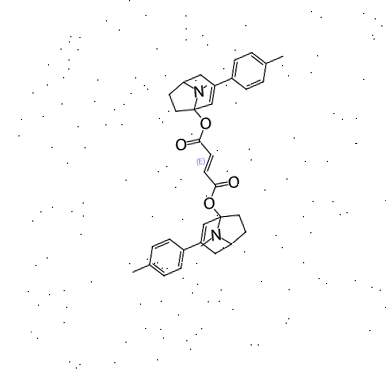 Cc1ccc(C2=CC3(OC(=O)/C=C/C(=O)OC45C=C(c6ccc(C)cc6)CC(CC4)N5C)CCC(C2)N3C)cc1